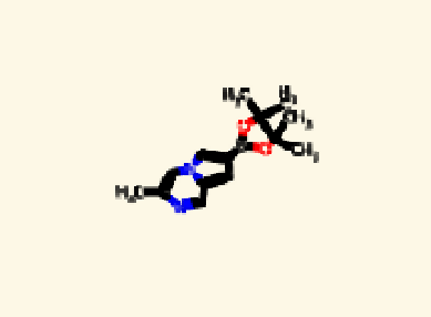 Cc1cn2cc(B3OC(C)(C)C(C)(C)O3)cc2cn1